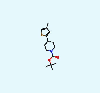 Cc1csc(C2CCN(C(=O)OC(C)(C)C)CC2)c1